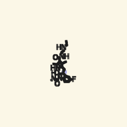 CCNCCNC(=O)c1c(C)[nH]c(/C=C2\C(=O)N(C(=O)NC)c3ccc(F)cc32)c1C